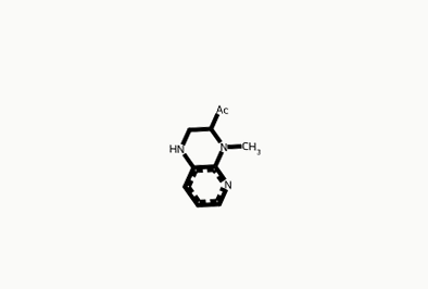 CC(=O)C1CNc2cccnc2N1C